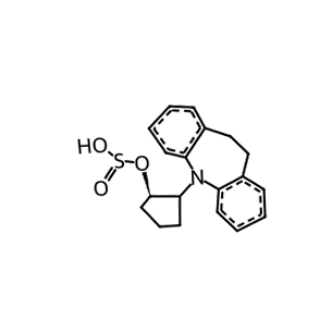 O=S(O)O[C@@H]1CCCC1N1c2ccccc2CCc2ccccc21